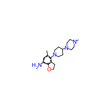 Cc1cc(N)c2c(c1N1CCC(N3CCN(C)CC3)CC1)CCO2